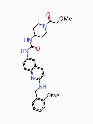 COCC(=O)N1CCC(NC(=O)Nc2ccc3nc(NCc4ccccc4OC)ccc3c2)CC1